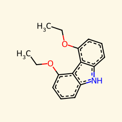 CCOc1cccc2[nH]c3cccc(OCC)c3c12